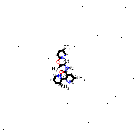 CCC(C(C)Oc1ccc(C(F)(F)F)cn1)N(CC)C(=O)c1cc(C)cnc1-c1ncccc1C